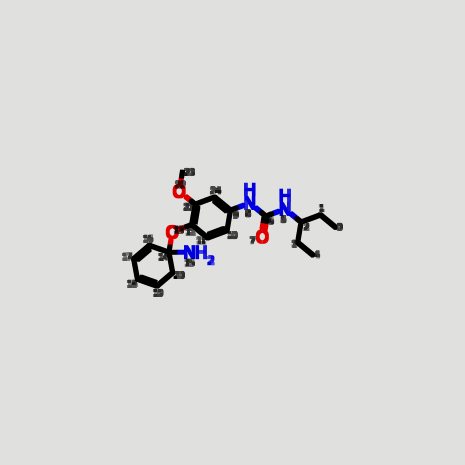 CCC(CC)NC(=O)Nc1ccc(OC2(N)C=CC=CC2)c(OC)c1